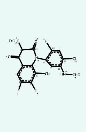 CCOC(=O)C1C(=O)c2cc(F)c(F)c(Cl)c2N(c2cc(NC=O)c(Cl)cc2F)C1=O